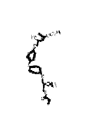 C=CC(=O)OCC(O)COc1ccc(Sc2ccc(OCC(O)CC(=C)C(=O)O)cc2)cc1